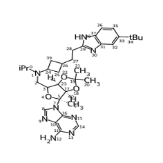 CC(C)N(CC1O[C@](C)(n2cnc3c(N)ncnc32)[C@@H]2OC(C)(C)O[C@H]12)C1CC(CCc2nc3cc(C(C)(C)C)ccc3[nH]2)C1